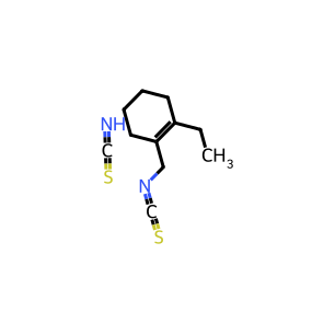 CCC1=C(CN=C=S)CCCC1.N=C=S